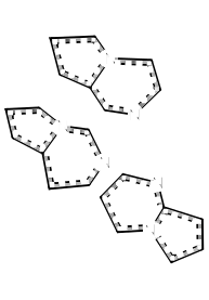 c1cc2ccncn2c1.c1cc2cnccn2c1.c1cnc2cccn2c1